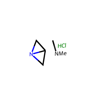 C1C2CN12.CNC.Cl